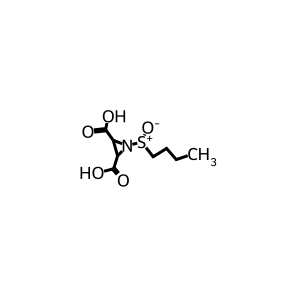 CCCC[S+]([O-])N1C(C(=O)O)C1C(=O)O